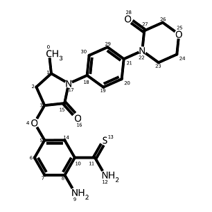 CC1CC(Oc2ccc(N)c(C(N)=S)c2)C(=O)N1c1ccc(N2CCOCC2=O)cc1